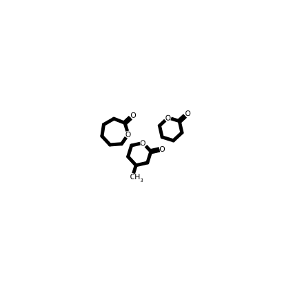 CC1CCOC(=O)C1.O=C1CCCCCO1.O=C1CCCCO1